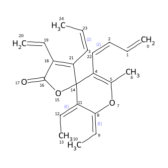 C=C/C=C\C1=C(C)OC(=C/C)/C(=C\C)C12OC(=O)C(C=C)=C2/C=C\C